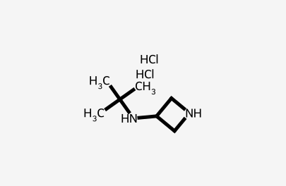 CC(C)(C)NC1CNC1.Cl.Cl